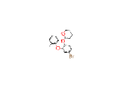 Cc1ccccc1Oc1cc(Br)ccc1OC1CCCCO1